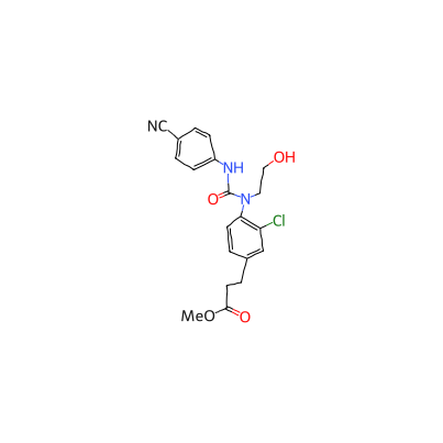 COC(=O)CCc1ccc(N(CCO)C(=O)Nc2ccc(C#N)cc2)c(Cl)c1